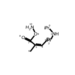 CC(C)NC(C)C.CCC=C(C)C(=O)ON